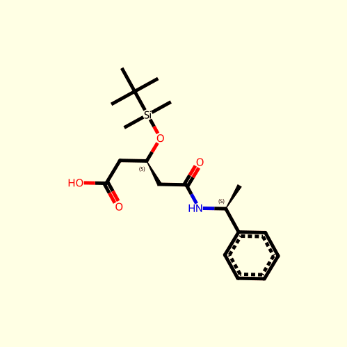 C[C@H](NC(=O)C[C@@H](CC(=O)O)O[Si](C)(C)C(C)(C)C)c1ccccc1